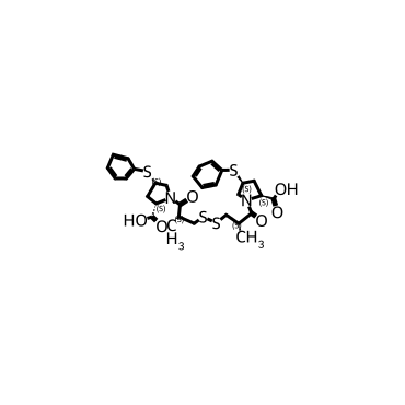 C[C@H](CSSC[C@@H](C)C(=O)N1C[C@@H](Sc2ccccc2)C[C@H]1C(=O)O)C(=O)N1C[C@@H](Sc2ccccc2)C[C@H]1C(=O)O